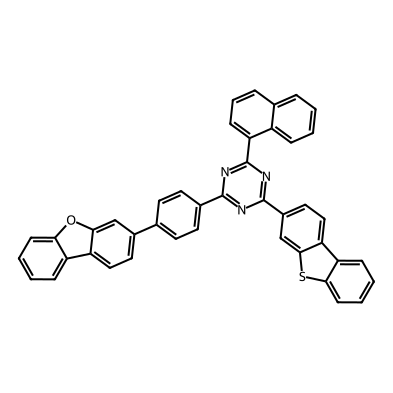 c1ccc2c(-c3nc(-c4ccc(-c5ccc6c(c5)oc5ccccc56)cc4)nc(-c4ccc5c(c4)sc4ccccc45)n3)cccc2c1